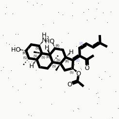 CC(=O)O[C@H]1C[C@@]2(C)[C@@H](C[C@@H](O)[C@H]3[C@@]4(C)[C@@H](N)C[C@@H](O)[C@@H](C)[C@@H]4CC[C@@]32C)/C1=C(\C=C/C=C(C)C)C(C)=O